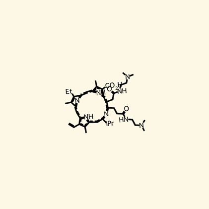 C=Cc1c(C)c2cc(C(C)C)nc(CCC(=O)NCCN(C)C)c(CC(=O)NCCN(C)C)c3[nH]c(cc4nc(cc1[nH]2)C(C)=C4CC)c(C)c3C(=O)O